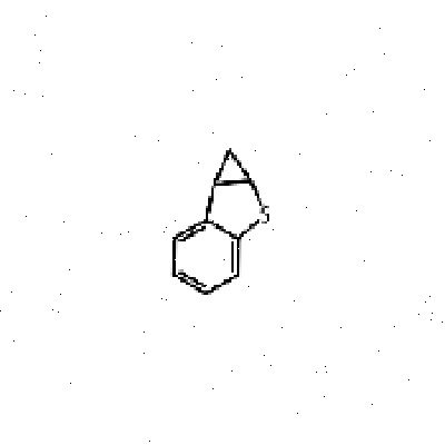 c1ccc2c(c1)SC1CC21